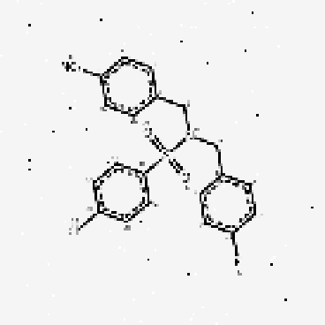 N#Cc1ccc(CN(Cc2ccc(F)cc2)S(=O)(=O)c2ccc(Cl)cc2)cc1